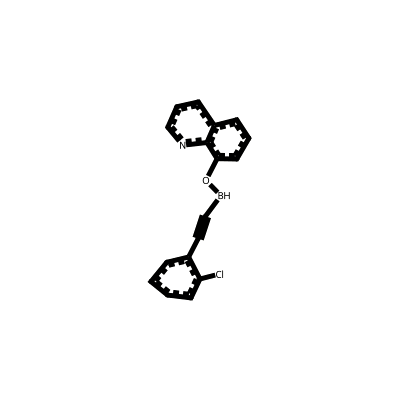 Clc1ccccc1C#CBOc1cccc2cccnc12